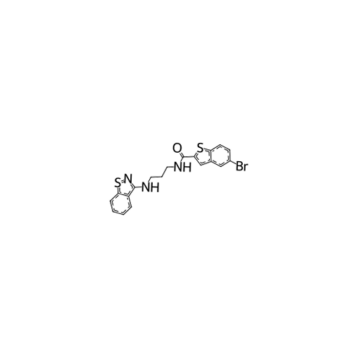 O=C(NCCCNc1nsc2ccccc12)c1cc2cc(Br)ccc2s1